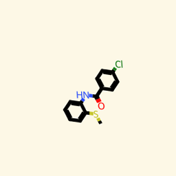 CSc1ccccc1NC(=O)c1ccc(Cl)cc1